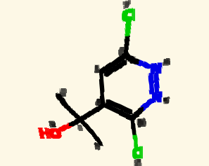 CC(C)(O)c1cc(Cl)nnc1Cl